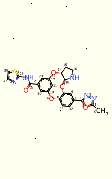 Cc1nnc(-c2ccc(Oc3cc(O[C@H]4CCNC4=O)cc(C(=O)Nc4nccs4)c3)cc2)o1